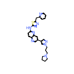 c1ccc(Cc2nnc(Nc3ccc4ncc(-c5cnn(CCCN6CCCC6)c5)cc4n3)s2)nc1